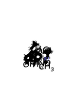 CNC(=O)/C=C/c1ccoc1.Oc1ccc2c3c1O[C@H]1CCC[C@@]4(O)[C@@H](C2)N(CC2CC2)CC[C@]314